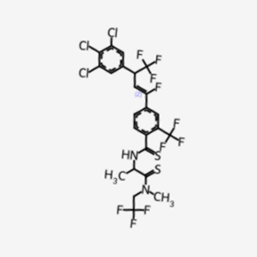 CC(NC(=S)c1ccc(/C(F)=C/C(c2cc(Cl)c(Cl)c(Cl)c2)C(F)(F)F)cc1C(F)(F)F)C(=S)N(C)CC(F)(F)F